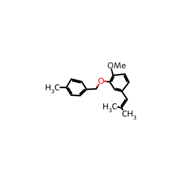 COc1ccc(C=C(C)C)cc1OCc1ccc(C)cc1